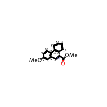 COC(=O)/C=C/c1cc(OC)ccc1-c1ccccc1